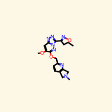 COc1cc2nnc(C3=NOC(C)C3)n2nc1OCc1ccc2c(n1)CN(C)C2